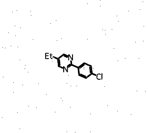 CCc1cnc(-c2ccc(Cl)cc2)nc1